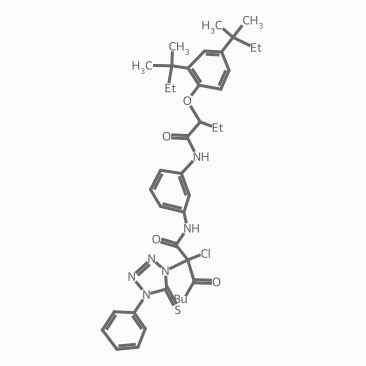 CCC(Oc1ccc(C(C)(C)CC)cc1C(C)(C)CC)C(=O)Nc1cccc(NC(=O)C(Cl)(C(=O)C(C)(C)C)n2nnn(-c3ccccc3)c2=S)c1